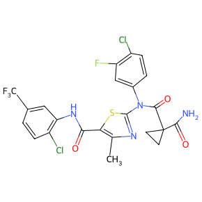 Cc1nc(N(C(=O)C2(C(N)=O)CC2)c2ccc(Cl)c(F)c2)sc1C(=O)Nc1cc(C(F)(F)F)ccc1Cl